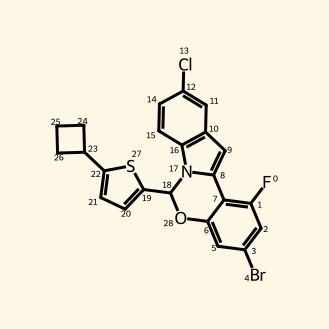 Fc1cc(Br)cc2c1-c1cc3cc(Cl)ccc3n1C(c1ccc(C3CCC3)s1)O2